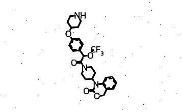 O=C(C(OC(F)(F)F)c1ccc(OC2CCNCC2)cc1)N1CCC(N2C(=O)OCc3ccccc32)CC1